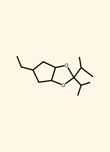 CCC1CC2OC(C(C)C)(C(C)C)OC2C1